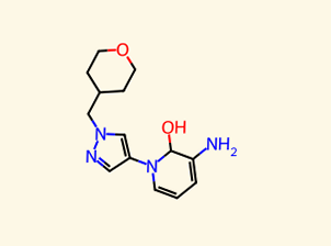 NC1=CC=CN(c2cnn(CC3CCOCC3)c2)C1O